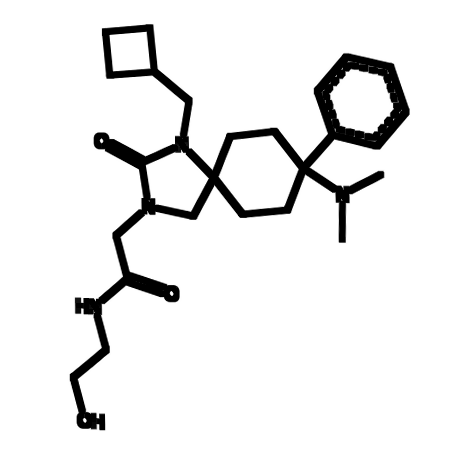 CN(C)C1(c2ccccc2)CCC2(CC1)CN(CC(=O)NCCO)C(=O)N2CC1CCC1